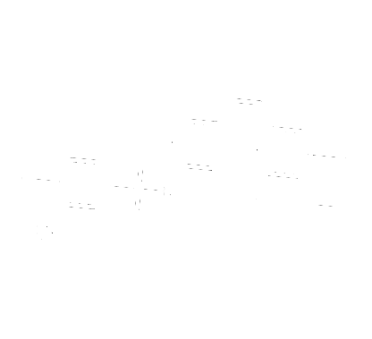 COc1ccc(S(=O)(=O)Nc2ccc(/C=C\c3cc(OC)c(OC)c(OC)c3)cc2)cc1N